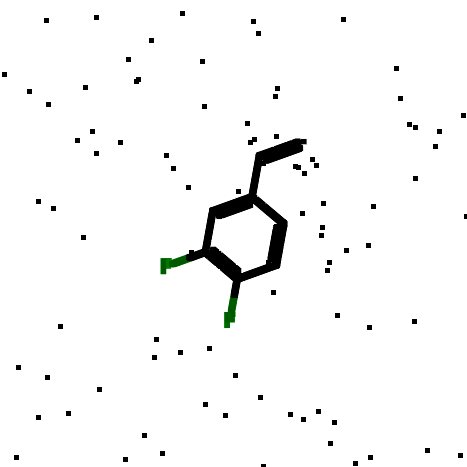 [CH]=Cc1ccc(F)c(F)c1